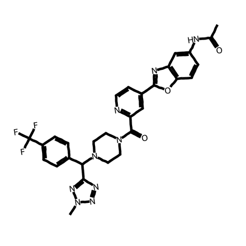 CC(=O)Nc1ccc2oc(-c3ccnc(C(=O)N4CCN(C(c5ccc(C(F)(F)F)cc5)c5nnn(C)n5)CC4)c3)nc2c1